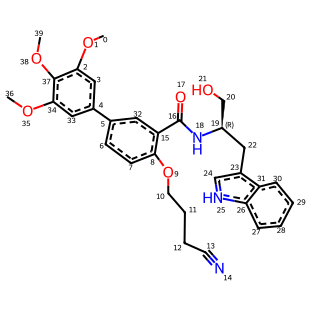 COc1cc(-c2ccc(OCCCC#N)c(C(=O)N[C@@H](CO)Cc3c[nH]c4ccccc34)c2)cc(OC)c1OC